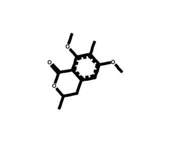 COc1cc2c(c(OC)c1C)C(=O)OC(C)C2